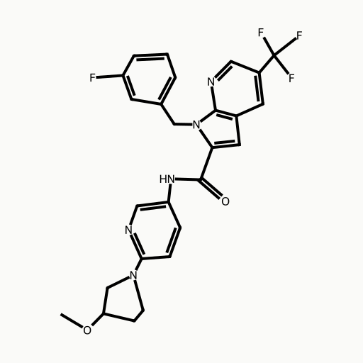 COC1CCN(c2ccc(NC(=O)c3cc4cc(C(F)(F)F)cnc4n3Cc3cccc(F)c3)cn2)C1